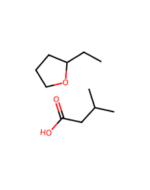 CC(C)CC(=O)O.CCC1CCCO1